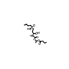 CCCCP(=O)(O)CCC(O)NC(=O)OC(C)OC(=O)CCC